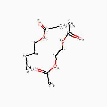 CC(=O)OCCOC(C)=O.CCCCOC(C)=O